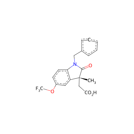 C[C@]1(CC(=O)O)C(=O)N(Cc2ccccc2)c2ccc(OC(F)(F)F)cc21